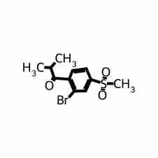 CC(C)C(=O)c1ccc(S(C)(=O)=O)cc1Br